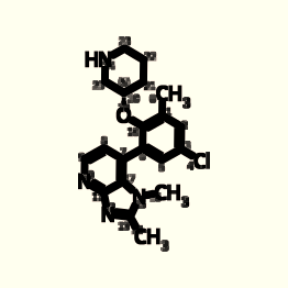 Cc1cc(Cl)cc(-c2ccnc3nc(C)n(C)c23)c1O[C@H]1CCCNC1